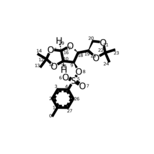 Cc1ccc(S(=O)(=O)O[C@H]2[C@H]3OC(C)(C)O[C@H]3O[C@@H]2[C@H]2COC(C)(C)O2)cc1